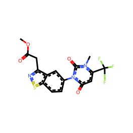 COC(=O)Cc1nsc2ccc(-n3c(=O)cc(C(F)(F)F)n(C)c3=O)cc12